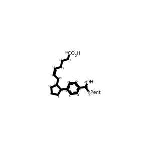 CCCCCC(O)c1ccc(C2CCCC2C/C=C\CCCC(=O)O)cc1